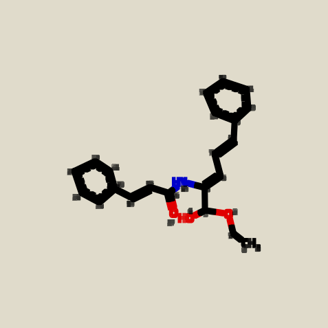 CCOC(O)/C(=C/C=C/c1ccccc1)NC(=O)/C=C/c1ccccc1